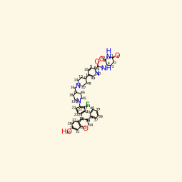 O=C1CCC(NC(=O)c2ccc(C3CCN(CC4CCN(c5ccc([C@H]6c7ccc(O)cc7OC[C@H]6c6ccccc6)cc5F)CC4)CC3)cn2)C(=O)N1